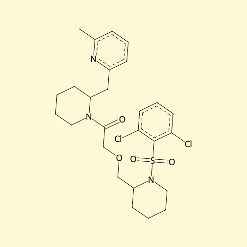 Cc1cccc(CC2CCCCN2C(=O)COCC2CCCCN2S(=O)(=O)c2c(Cl)cccc2Cl)n1